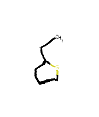 C[CH]C1CCCS1